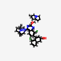 C[C@H]1CN2CCC[C@@]2(COc2nc(N3CC[C@@H]4CC[C@H](C3)N4)c3ccc(-c4cc(O)cc5cccc(F)c45)c(F)c3n2)C1